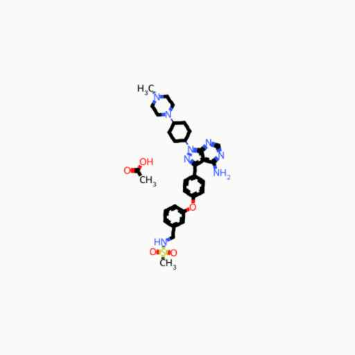 CC(=O)O.CN1CCN([C@H]2CC[C@@H](n3nc(-c4ccc(Oc5cccc(CNS(C)(=O)=O)c5)cc4)c4c(N)ncnc43)CC2)CC1